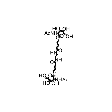 CC(=O)NC1C(O)[C@@H](O)C(CO)O[C@H]1OCCCCC(=O)NCCNC(=O)CCCCO[C@@H]1O[C@@H](CO)[C@H](O)C(O)C1NC(C)=O